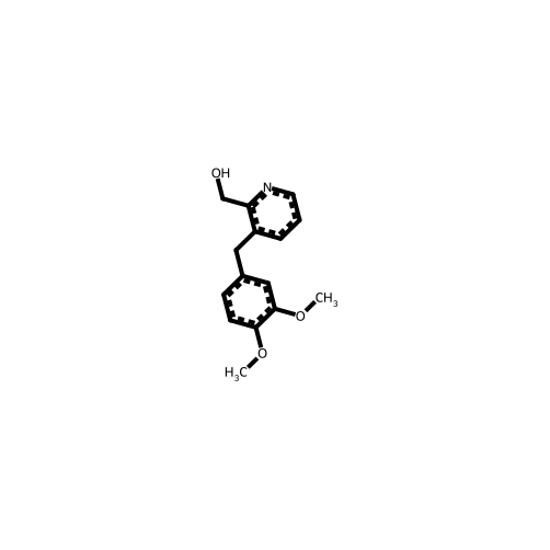 COc1ccc(Cc2cccnc2CO)cc1OC